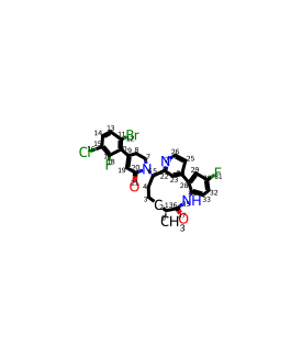 C[C@@H]1CCC[C@H](N2CCC(c3c(Br)ccc(Cl)c3F)=CC2=O)c2cc(ccn2)-c2cc(F)ccc2NC1=O